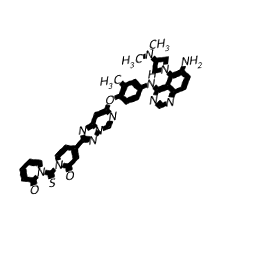 Cc1cc(Nc2ncnc3ccc(N)c(N4CC(N(C)C)C4)c23)ccc1Oc1cc2nc(-c3ccn(C(=S)n4ccccc4=O)c(=O)c3)nn2cn1